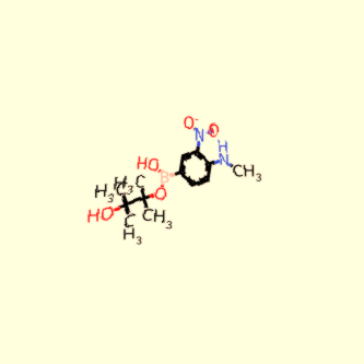 CNc1ccc(B(O)OC(C)(C)C(C)(C)O)cc1[N+](=O)[O-]